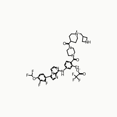 CCc1cc(Nc2nccn3c(-c4ccc(OC(F)F)c(F)c4F)cnc23)ccc1C(=O)N1CCN(C(=O)C2CC[N+](C)(CC3CNC3)CC2)CC1.O=C([O-])C(F)(F)F